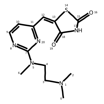 CN(C)CCN(C)c1nccc(C=C2SC(=O)NC2=O)n1